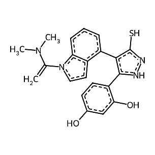 C=C(N(C)C)n1ccc2c(-c3c(S)n[nH]c3-c3ccc(O)cc3O)cccc21